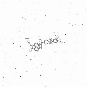 COCCCN1C(=O)c2cccc3c(NC(=O)C4CCN(S(=O)(=O)c5ccc(OC)c(OC)c5)CC4)ccc1c23